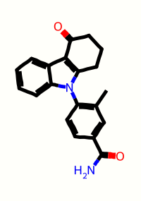 Cc1cc(C(N)=O)ccc1-n1c2c(c3ccccc31)C(=O)CCC2